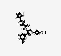 O=C(Nc1cn([C@H]2C[C@@H](O)C2)nc1-c1cccc(F)n1)c1csc(-c2cn[nH]c2)n1